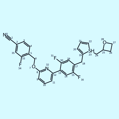 N#Cc1ccc(COc2cccc(-c3cc(F)c(CC4=CC=C[SH]4CC4CCO4)cc3F)n2)c(F)c1